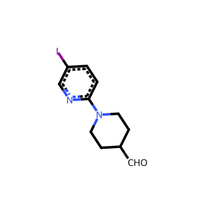 O=CC1CCN(c2ccc(I)cn2)CC1